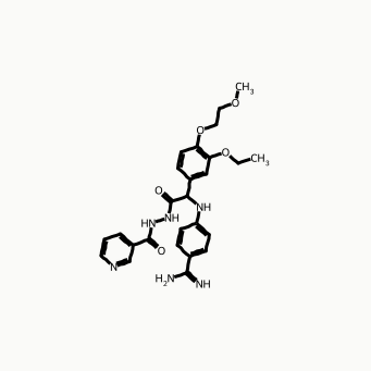 CCOc1cc(C(Nc2ccc(C(=N)N)cc2)C(=O)NNC(=O)c2cccnc2)ccc1OCCOC